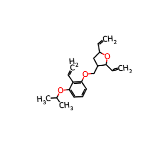 C=Cc1c(OCC2CC(C=C)OC2C=C)cccc1OC(C)C